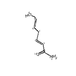 NC(=O)C=CCC=CO